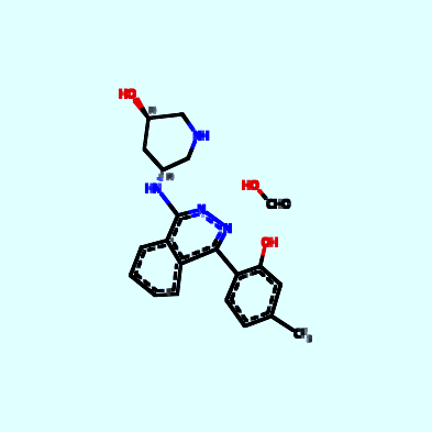 O=CO.Oc1cc(C(F)(F)F)ccc1-c1nnc(N[C@H]2CNC[C@H](O)C2)c2ccccc12